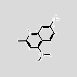 Cc1cc(N(C)C)c2ccc([NH])cc2n1